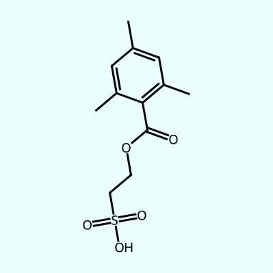 Cc1cc(C)c(C(=O)OCCS(=O)(=O)O)c(C)c1